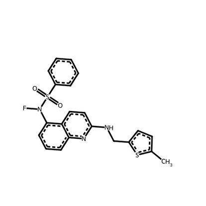 Cc1ccc(CNc2ccc3c(N(F)S(=O)(=O)c4ccccc4)cccc3n2)s1